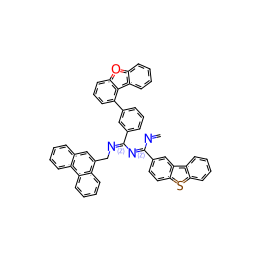 C=N/C(=N\C(=N/Cc1cc2ccccc2c2ccccc12)c1cccc(-c2cccc3oc4ccccc4c23)c1)c1ccc2sc3ccccc3c2c1